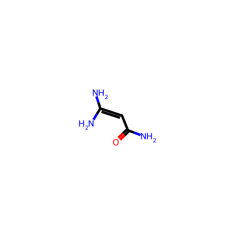 NC(=O)C=C(N)N